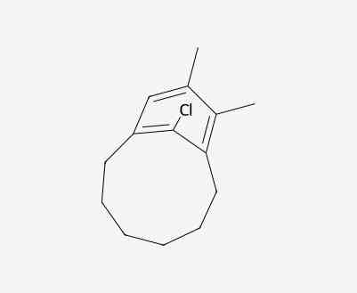 Cc1cc2c(Cl)c(c1C)CCCCCC2